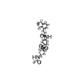 C=CC(=O)NCC1CCN(S(=O)(=O)c2ccc(NC(=O)CCc3cccc4ccccc34)cc2)CC1